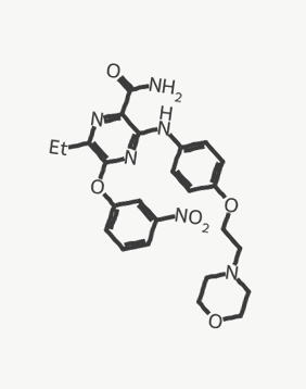 CCc1nc(C(N)=O)c(Nc2ccc(OCCN3CCOCC3)cc2)nc1Oc1cccc([N+](=O)[O-])c1